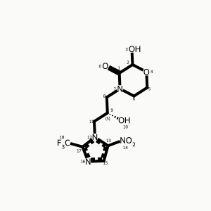 O=C1C(O)OCCN1C[C@H](O)Cn1c([N+](=O)[O-])cnc1C(F)(F)F